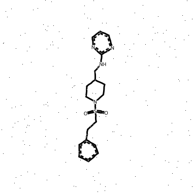 O=S(=O)(CCc1ccccc1)N1CCC(CNc2ncccn2)CC1